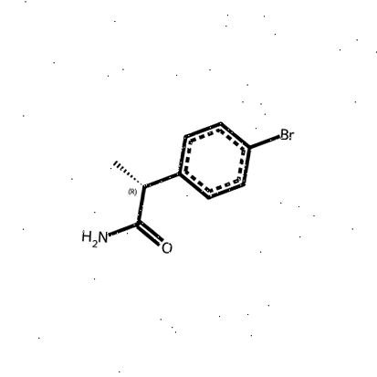 C[C@@H](C(N)=O)c1ccc(Br)cc1